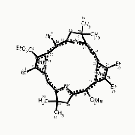 CCOC(=O)c1c(CC)c2cc3nc(c(OC)c4[nH]c(cc5nc(c(Br)c1[nH]2)CC5(C)C)c(CC)c4CC)CC3(C)C